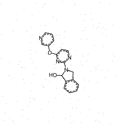 OC1c2ccccc2CN1c1nccc(Oc2cccnc2)n1